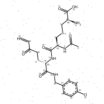 CC(=O)N[C@H](CSC[C@H](N)C(=O)O)C(=O)N[C@@H](CCC(=O)C=N)C(=O)NCc1ccc(Cl)cc1